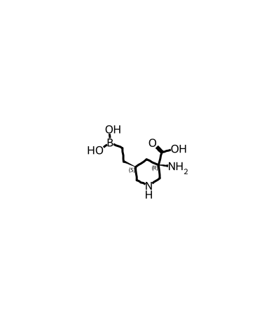 N[C@@]1(C(=O)O)CNC[C@@H](CCB(O)O)C1